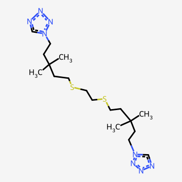 CC(C)(CCSCCSCCC(C)(C)CCn1cnnn1)CCn1cnnn1